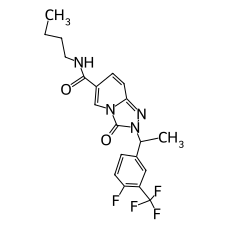 CCCCNC(=O)c1ccc2nn(C(C)c3ccc(F)c(C(F)(F)F)c3)c(=O)n2c1